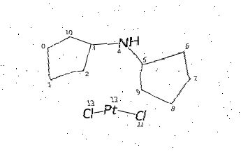 C1CCC(NC2CCCC2)C1.[Cl][Pt][Cl]